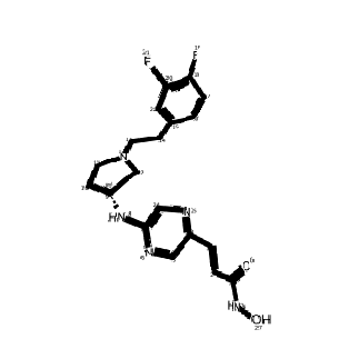 O=C(C=Cc1cnc(N[C@@H]2CCN(CCc3ccc(F)c(F)c3)C2)cn1)NO